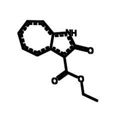 CCOC(=O)c1c2cccccc-2[nH]c1=O